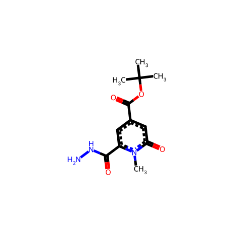 Cn1c(C(=O)NN)cc(C(=O)OC(C)(C)C)cc1=O